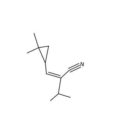 CC(C)/C(C#N)=C/C1CC1(C)C